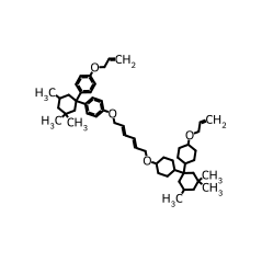 C=CCOc1ccc(C2(c3ccc(OC/C=C/C=C/COC4CCC(C5(C6CCC(OCC=C)CC6)CC(C)CC(C)(C)C5)CC4)cc3)CC(C)CC(C)(C)C2)cc1